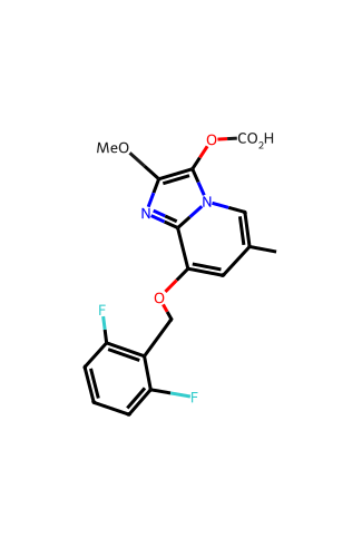 COc1nc2c(OCc3c(F)cccc3F)cc(C)cn2c1OC(=O)O